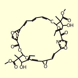 C/C=C/C(O)C(C)(C(=O)OC)C1C/C=C\C2OC2/C=C/c2nc(co2)C(=O)OC(C(C)(C(=O)OC)C(O)/C=C/C)C\C=C/C=C/C=C/c2nc(co2)C(=O)O1